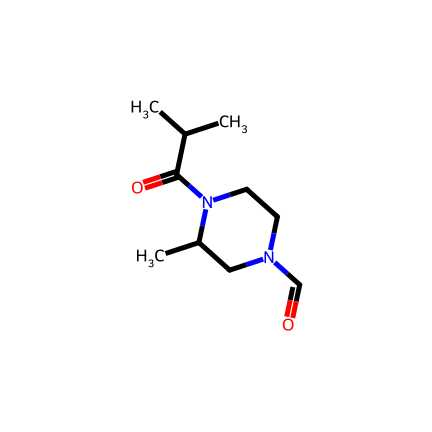 CC(C)C(=O)N1CCN(C=O)CC1C